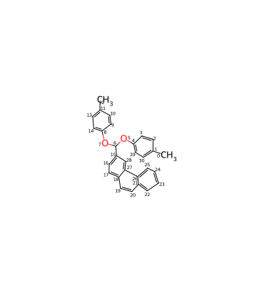 Cc1ccc(OC(Oc2ccc(C)cc2)c2ccc3ccc4ccccc4c3c2)cc1